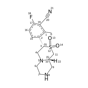 Cc1c([C@H]2CN3CCNC[C@H]3CS2(=O)=O)ccc(F)c1C#N